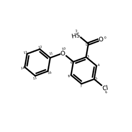 O=C(S)c1cc(Cl)ccc1Oc1ccccc1